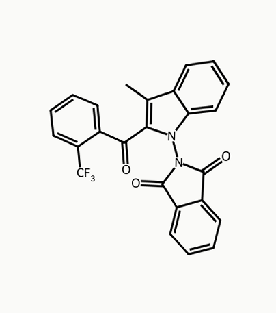 Cc1c(C(=O)c2ccccc2C(F)(F)F)n(N2C(=O)c3ccccc3C2=O)c2ccccc12